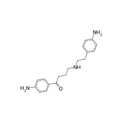 Nc1ccc(CCNCCCC(=O)c2ccc(N)cc2)cc1